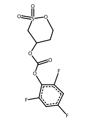 O=C(Oc1c(F)cc(F)cc1F)OC1CCOS(=O)(=O)C1